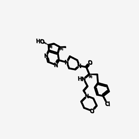 C[C@@H]1C[C@@H](O)c2ncnc(N3CCN(C(=O)[C@@H](Cc4ccc(Cl)cc4)NCCN4CCOCC4)CC3)c21